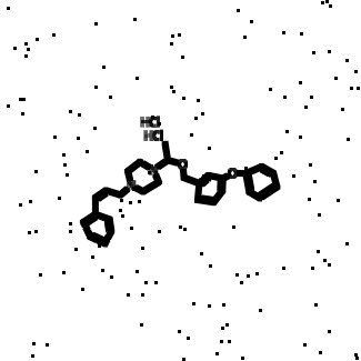 CC(OCc1cccc(Oc2ccccc2)c1)N1CCN(C/C=C\c2ccccc2)CC1.Cl.Cl